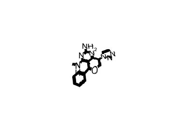 CNc1nc(N)nc2c1C(c1ccccc1)OCC2n1ccnn1